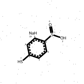 O=S(O)c1ccc(S)cc1.[NaH]